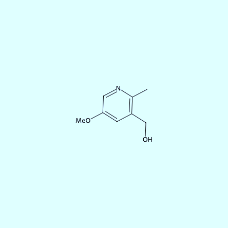 COc1cnc(C)c(CO)c1